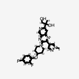 Cn1cc(-c2nc3cc(C(C)(O)CO)ncc3nc2N2CCC(Oc3ccc(F)cc3F)CC2)cn1